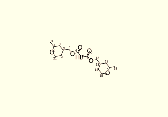 CC1CC(COC(=O)BC(=O)OCC2CCOC(C)C2)CCO1